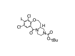 CC(C)(C)OC(=O)N1CCN2C(=O)c3cc(Cl)c(I)c(Cl)c3OCC[C@H]2C1